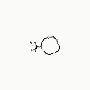 N=C(N)N1CCCCCCCCCCCC1